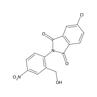 O=C1c2ccc(Cl)cc2C(=O)N1c1ccc([N+](=O)[O-])cc1CO